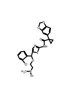 CCN(C)CCOC(c1cnc(NC(=O)C2(c3ccc4c(c3)OCO4)CC2)s1)c1ccccc1Cl